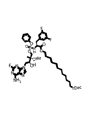 CCCCCCCCCCCCCCCCCCCCCCOC(=O)[C@H](Cc1cc(F)cc(F)c1)NP(=O)(OC[C@@](C)(OC)[C@@H](O)Cn1cnc2c(N)nc(F)nc21)Oc1ccccc1